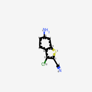 N#Cc1sc2cc(N)ccc2c1Cl